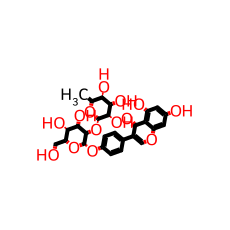 CC1O[C@@H](OC2C(O)[C@@H](O)C(CO)O[C@@H]2Oc2ccc(-c3coc4cc(O)cc(O)c4c3=O)cc2)[C@@H](O)C(O)[C@H]1O